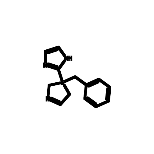 C1=NCS(Cc2ccccc2)(c2ncc[nH]2)C1